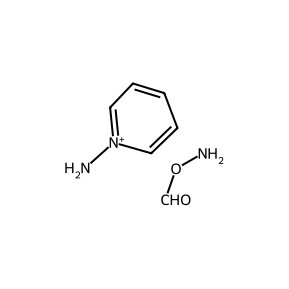 NOC=O.N[n+]1ccccc1